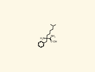 CN(C)CCCCC(N)(Cc1ccccc1)C(N)=O.Cl